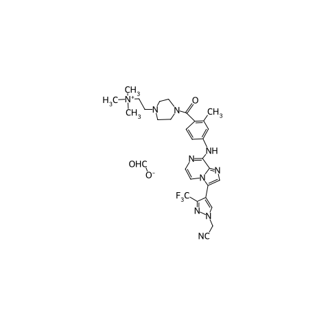 Cc1cc(Nc2nccn3c(-c4cn(CC#N)nc4C(F)(F)F)cnc23)ccc1C(=O)N1CCN(CC[N+](C)(C)C)CC1.O=C[O-]